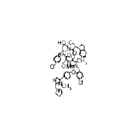 COC[C@H](NC(=O)[C@H](C)NCc1ccc(Cl)cc1Oc1ccc(-c2cnc(CN3CCCC3)n2C)cc1)C(=O)N[C@@]1(Cc2ccc(Cl)cc2)CCCN(C(=O)[C@@H](CC(=O)O)[C@H]2CCc3ccccc32)C1